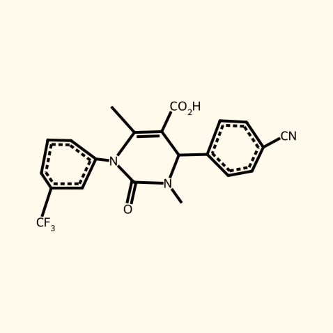 CC1=C(C(=O)O)C(c2ccc(C#N)cc2)N(C)C(=O)N1c1cccc(C(F)(F)F)c1